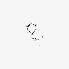 CC/C(Cl)=C/c1ccccc1